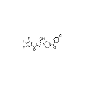 O=C(c1ccc(Cl)cc1)N1CCN([C@@H]2CN(C(=O)c3cc(F)c(F)c(F)c3)C[C@H]2O)CC1